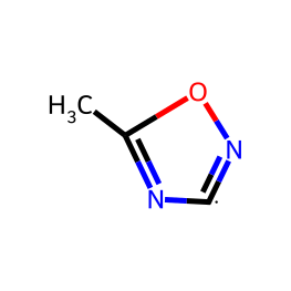 Cc1n[c]no1